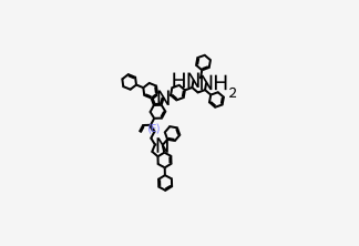 C=C/C(=C\CC1CC2CC(C3C=CC=CC3)C=CC2N1C1=CC=CCC1)C1C=Cc2c(c3c(n2C2=CC=C(C(CC(N)C4C=CC=CC4)NCC4=CCCC=C4)CC2)=CCC(C2C=CCCC2)C=3)C1